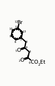 CCOC(=O)C(=O)CC(=O)Cc1cccc(Br)c1